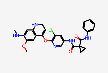 CNc1cc2c(cc1OC)C(Oc1ncc(NC(=O)C3(C(=O)Nc4ccccc4)CC3)cc1Cl)=CCN2